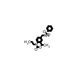 CCCN1C(=O)OC(C)c2cc(CNS(=O)(=O)c3ccccc3)ccc21